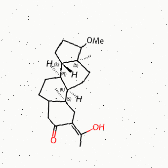 COC1CC[C@H]2[C@@H]3CCC4CC(=O)C(=C(C)O)C[C@]4(C)[C@@H]3CC[C@]12C